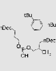 CCCCCCCCCCCCCOP(O)OCC(C)CCCCCCCCCCC.CCCCc1cccc(C(C)(C)C)c1